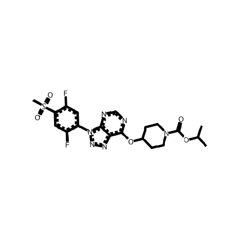 CC(C)OC(=O)N1CCC(Oc2ncnc3c2nnn3-c2cc(F)c(S(C)(=O)=O)cc2F)CC1